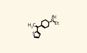 C=C(C1=CC[C@H](N(CC)C(C)=O)CC1)c1cccs1